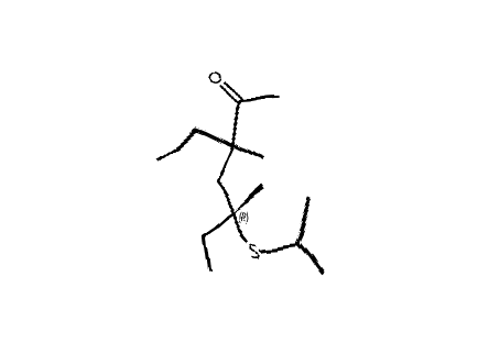 CCC(C)(C[C@@](C)(CC)SC(C)C)C(C)=O